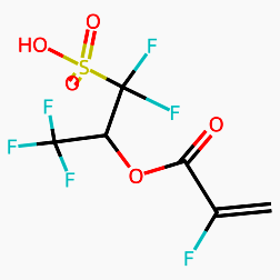 C=C(F)C(=O)OC(C(F)(F)F)C(F)(F)S(=O)(=O)O